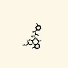 CC1=N[C@@H](NC(=O)Nc2cccc(C)c2)C(=O)N(CC(=O)C(C)(C)C)c2c(C)cccc21